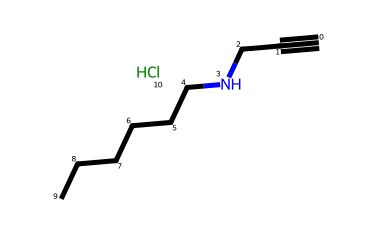 C#CCNCCCCCC.Cl